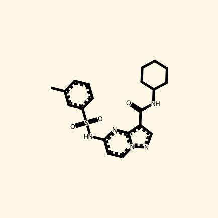 Cc1cccc(S(=O)(=O)Nc2ccn3ncc(C(=O)NC4CCCCC4)c3n2)c1